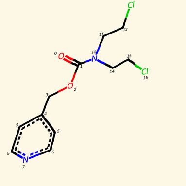 O=C(OCc1ccncc1)N(CCCl)CCCl